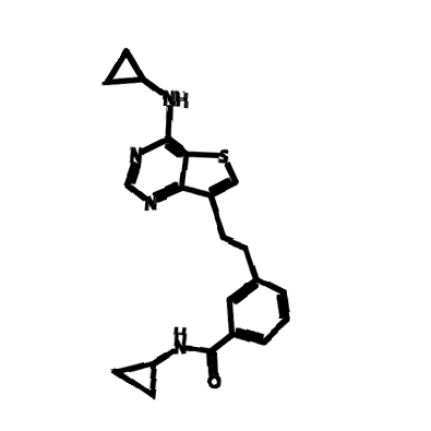 O=C(NC1CC1)c1cccc(CCc2csc3c(NC4CC4)ncnc23)c1